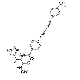 CC(c1c[nH]nn1)[C@H](NC(=O)c1ccc(C#CC#Cc2ccc(N)cc2)cc1)C(=O)NO